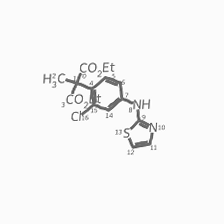 CCOC(=O)C(C)(C(=O)OCC)c1ccc(Nc2nccs2)cc1Cl